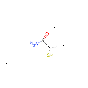 C[C@H](S)C(N)=O